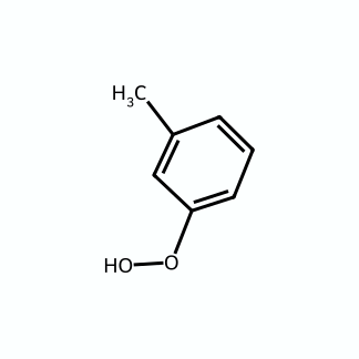 Cc1cccc(OO)c1